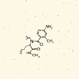 CNC(=O)C(CCC=O)N(C=O)C(=O)c1ccc(N)cc1C